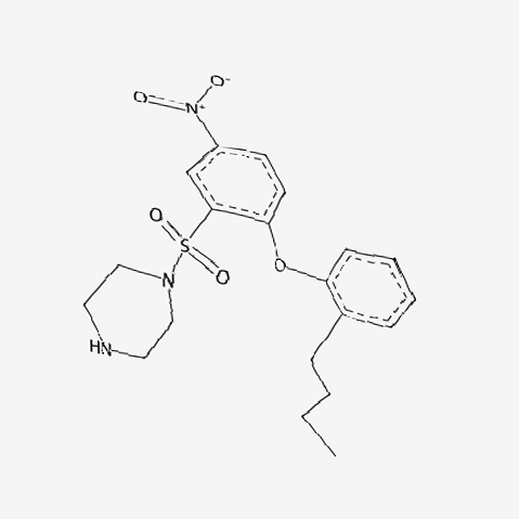 CCCCc1ccccc1Oc1ccc([N+](=O)[O-])cc1S(=O)(=O)N1CCNCC1